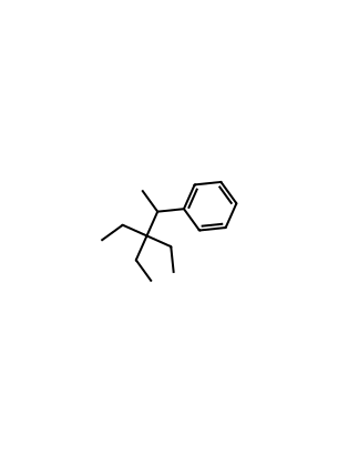 CCC(CC)(CC)C(C)c1ccccc1